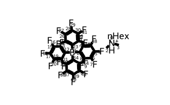 CCCCCC[NH+](C)C.Fc1c(F)c(F)c([B-](c2c(F)c(F)c(F)c(F)c2F)(c2c(F)c(F)c(F)c(F)c2F)c2c(F)c(F)c(F)c(F)c2F)c(F)c1F